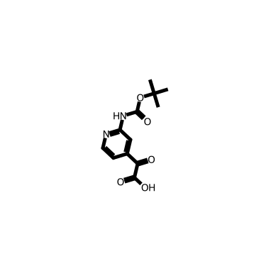 CC(C)(C)OC(=O)Nc1cc(C(=O)C(=O)O)ccn1